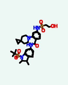 CC1c2ccc(NC(=O)c3ccc(NS(=O)(=O)CCO)cc3N3CCC4(CC3)CC4)cc2N(S(=O)(=O)C(C)(C)C)C1C